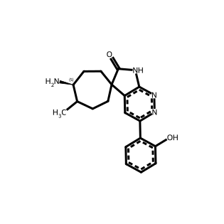 CC1CCC2(CC[C@@H]1N)C(=O)Nc1nnc(-c3ccccc3O)cc12